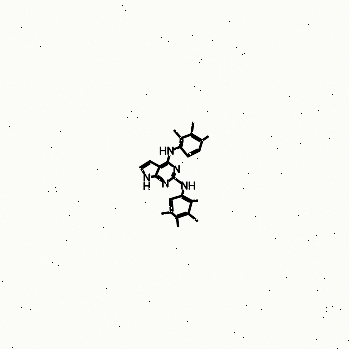 Cc1ccc(Nc2nc(Nc3cc(C)c(C)c(C)c3C)nc3[nH]ccc23)c(C)c1C